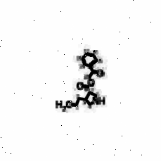 C=CCC1CNC[C@H]1C(=O)OCC(=O)c1ccccc1